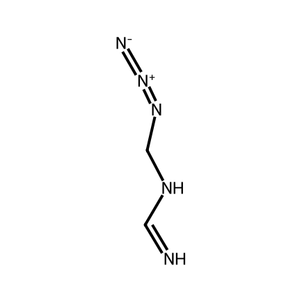 [N-]=[N+]=NCNC=N